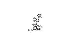 Cn1nccc1-c1ccc(-c2[nH]c3nc(N)nc(N)c3c2C(F)(F)F)c2c1OCCO2